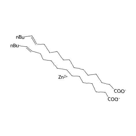 CCCCC=CCCCCCCCCCCCC(=O)[O-].CCCCC=CCCCCCCCCCCCC(=O)[O-].[Zn+2]